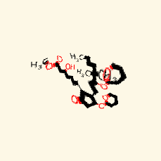 CCCCC(C)(C)[C@@H](/C=C/[C@H]1[C@H](OC2CCCCO2)CC(=O)[C@@H]1CCCCC(O)CC(=O)OC)OC1CCCCO1